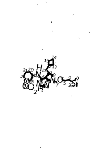 C[Si](C)(C)CCOCn1cc(CC2CCC2)c2c(NC3CCCN(C(=O)O)C3)ncnc21